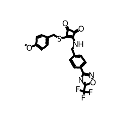 COc1ccc(CSc2c(NCc3ccc(-c4noc(C(F)(F)F)n4)cc3)c(=O)c2=O)cc1